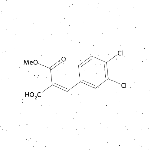 COC(=O)C(=Cc1ccc(Cl)c(Cl)c1)C(=O)O